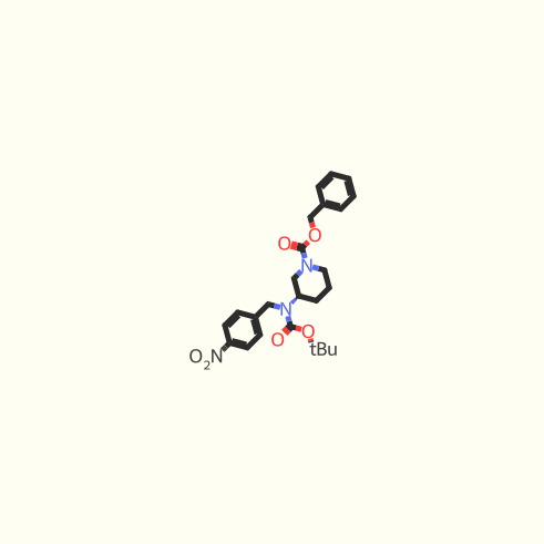 CC(C)(C)OC(=O)N(Cc1ccc([N+](=O)[O-])cc1)[C@@H]1CCCN(C(=O)OCc2ccccc2)C1